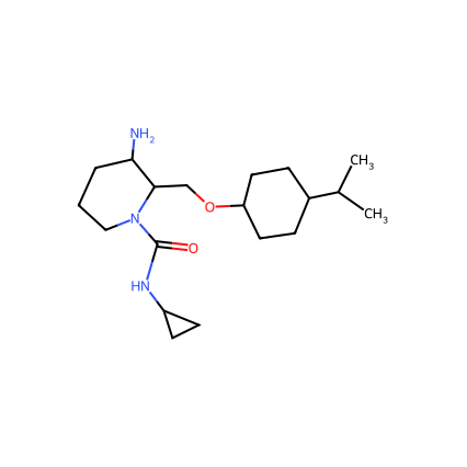 CC(C)C1CCC(OCC2C(N)CCCN2C(=O)NC2CC2)CC1